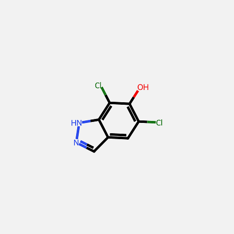 Oc1c(Cl)cc2cn[nH]c2c1Cl